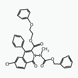 CN(C(=O)OCc1ccccc1)n1c(C(=O)OCCOc2ccccc2)c(-c2ccccc2)c2cc(Cl)ccc2c1=O